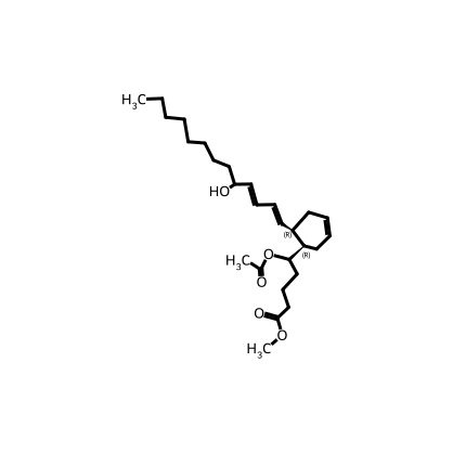 CCCCCCCCC(O)C=CC=C[C@H]1CC=CC[C@H]1C(CCCC(=O)OC)OC(C)=O